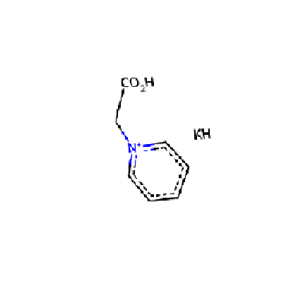 O=C(O)C[n+]1ccccc1.[KH]